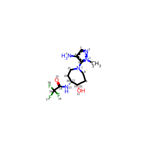 Cn1ncc(N)c1N1CC[C@H](O)[C@H](NC(=O)C(F)(F)F)CC1